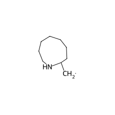 [CH2]C1CCCCCCCN1